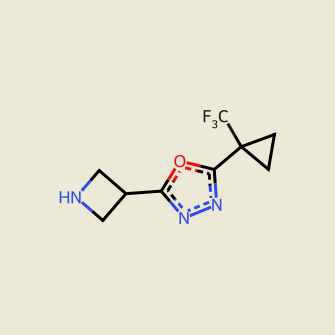 FC(F)(F)C1(c2nnc(C3CNC3)o2)CC1